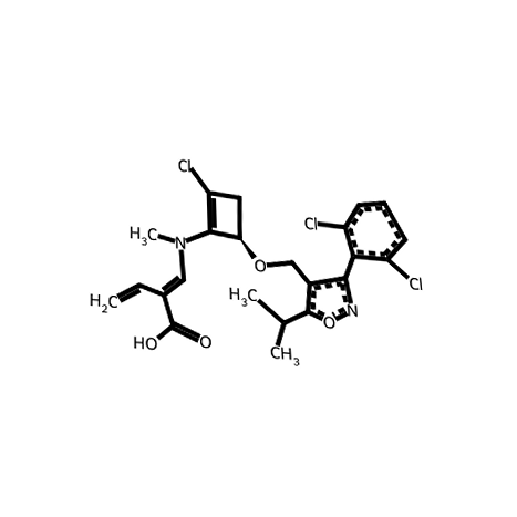 C=C/C(=C\N(C)C1=C(Cl)C[C@H]1OCc1c(-c2c(Cl)cccc2Cl)noc1C(C)C)C(=O)O